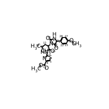 COC(=O)c1csc(NC(=O)C(CC(C)C)N2C(=O)NC(c3ccc(OC)cc3)C2=O)n1